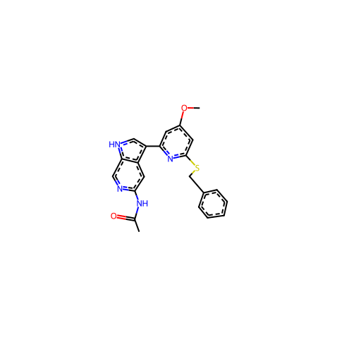 COc1cc(SCc2ccccc2)nc(-c2c[nH]c3cnc(NC(C)=O)cc23)c1